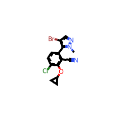 Cn1ncc(Br)c1-c1ccc(Cl)c(OC2CC2)c1C#N